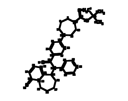 CC(C)(C)OC(=O)N1CCCN(c2ccc(C(=O)N(c3ccncc3)C3CCCCn4c3nccc4=O)cn2)CC1